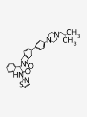 CC(C)CN1CCN(c2ccc(-c3ccc4c(c3)C(=O)N(C(C(=O)Nc3nccs3)c3ccccc3)C4)cc2)CC1